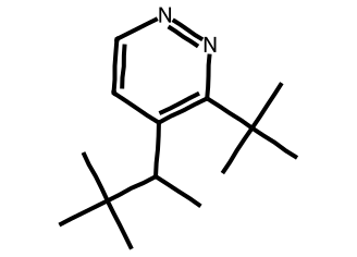 CC(c1ccnnc1C(C)(C)C)C(C)(C)C